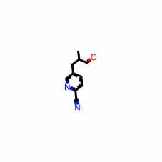 CC(C=O)Cc1ccc(C#N)nc1